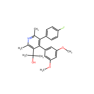 COc1cc(OC)cc(-c2c(-c3ccc(F)cc3)c(C)nc(C)c2C(C)(C)O)c1